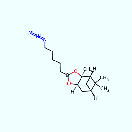 CC1(C)[C@@H]2C[C@H]3OB(CCCCCN=[N+]=[N-])O[C@@]3(C)[C@H]1C2